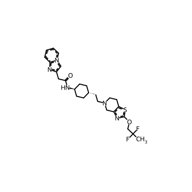 CC(F)(F)COc1nc2c(s1)CCN(CC[C@H]1CC[C@H](NC(=O)Cc3cn4ccccc4n3)CC1)C2